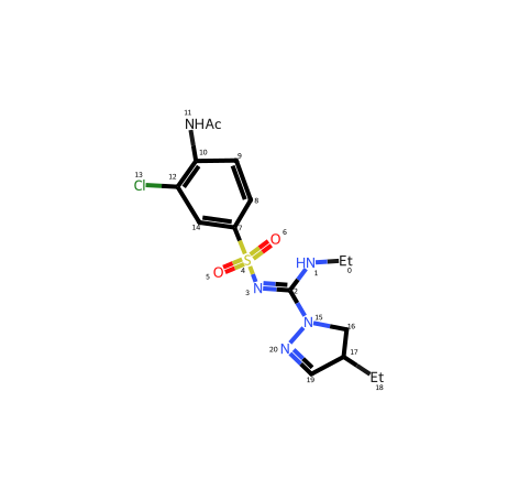 CCN/C(=N\S(=O)(=O)c1ccc(NC(C)=O)c(Cl)c1)N1CC(CC)C=N1